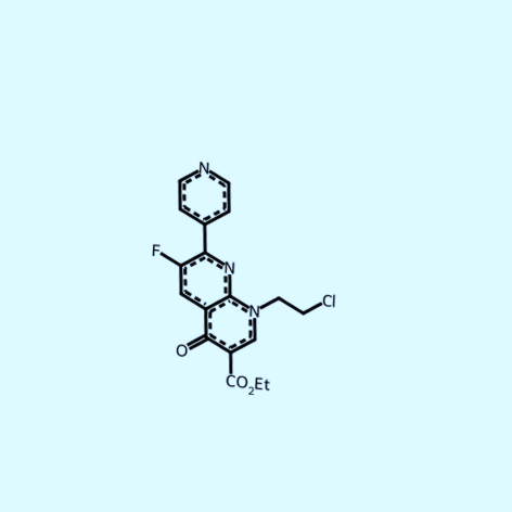 CCOC(=O)c1cn(CCCl)c2nc(-c3ccncc3)c(F)cc2c1=O